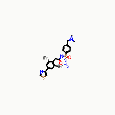 CC(C)c1cc(-c2cscn2)cc(C(C)C)c1CC(=O)N=S(N)(=O)c1ccc(CN(C)C)cc1